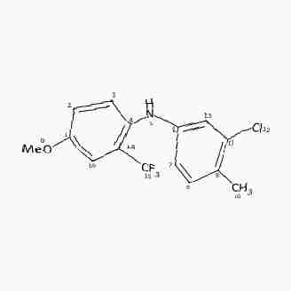 COc1ccc(Nc2ccc(C)c(Cl)c2)c(C(F)(F)F)c1